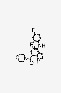 Cn1ccc2c(Nc3ccc(F)cc3F)ncc(C(=O)N3CCOCC3)c21